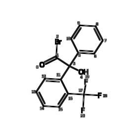 O=C(Br)C(O)(c1ccccc1)c1ccccc1C(F)(F)F